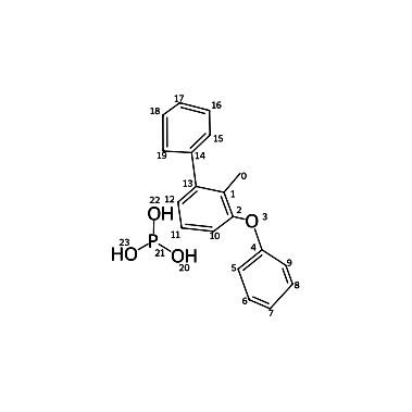 Cc1c(Oc2ccccc2)cccc1-c1ccccc1.OP(O)O